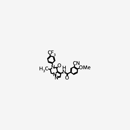 COc1ccc(C(=O)Nc2cnn3c2C(=O)N(c2ccc(C(F)(F)F)cc2)C(C)C3)cc1C#N